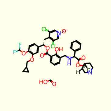 O=C(O[C@@H](Cc1c(Cl)c[n+]([O-])cc1Cl)c1ccc(OC(F)F)c(OCC2CC2)c1)c1cccc(CNC(C(=O)O[C@H]2CN3CCC2CC3)c2ccccc2)c1O.O=CO